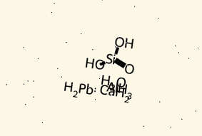 O.O=[Si](O)O.[AlH3].[CaH2].[PbH2]